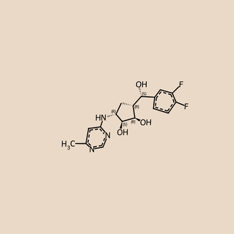 Cc1cc(N[C@@H]2C[C@H]([C@H](O)c3ccc(F)c(F)c3)[C@@H](O)[C@H]2O)ncn1